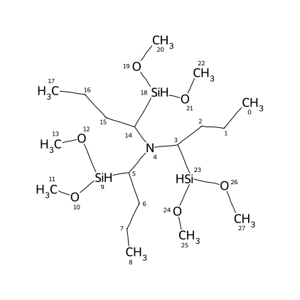 CCCC(N(C(CCC)[SiH](OC)OC)C(CCC)[SiH](OC)OC)[SiH](OC)OC